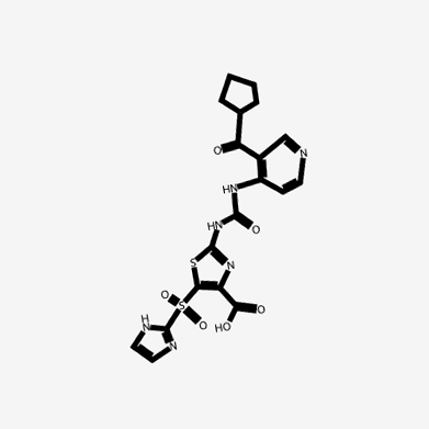 O=C(Nc1nc(C(=O)O)c(S(=O)(=O)c2ncc[nH]2)s1)Nc1ccncc1C(=O)C1CCCC1